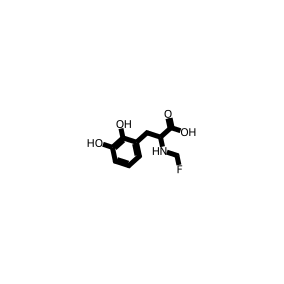 O=C(O)C(Cc1cccc(O)c1O)NCF